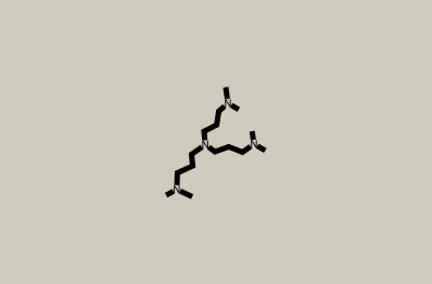 CN(C)CCCN(CCCN(C)C)CCCN(C)C